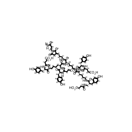 O=C(O)CCC(=O)NC[C@@H](Cc1ccc(O)cc1)C(=O)NCCCC[C@H](NC(=O)[C@H](Cc1ccc(O)cc1)NC(=O)CCC(=O)O)C(=O)NCCCC[C@H](NC(=O)[C@H](CCCCNC(=O)[C@H](Cc1ccc(O)cc1)NC(=O)CCC(=O)O)NC(=O)[C@H](Cc1ccc(O)cc1)NC(=O)CCC(=O)O)C(=O)NCCSC1CC(=O)N(CCC(=O)[SiH2]I)C1=O